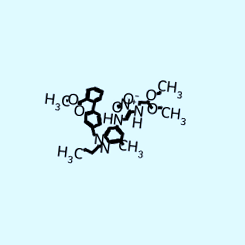 CCCc1nc2c(C)cc(NC=C(NCC(OCC)OCC)[N+](=O)[O-])cc2n1Cc1ccc(-c2ccccc2C(=O)OC)cc1